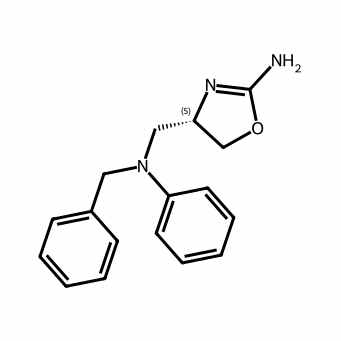 NC1=N[C@@H](CN(Cc2ccccc2)c2ccccc2)CO1